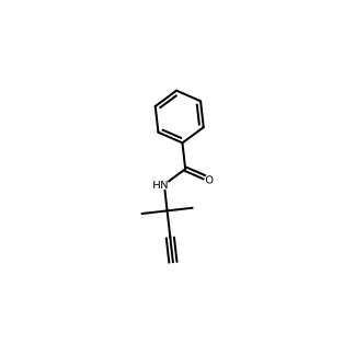 C#CC(C)(C)NC(=O)c1ccccc1